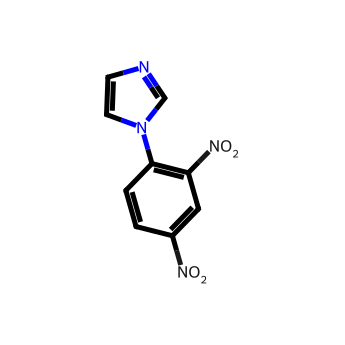 O=[N+]([O-])c1ccc(-n2ccnc2)c([N+](=O)[O-])c1